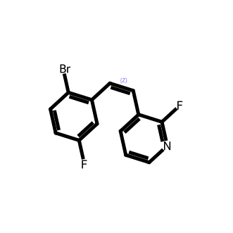 Fc1ccc(Br)c(/C=C\c2cccnc2F)c1